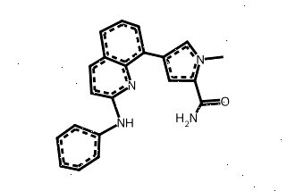 Cn1cc(-c2cccc3ccc(Nc4ccccc4)nc23)cc1C(N)=O